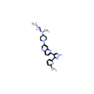 CNCCN(C)C1CCN(c2cnc3ccc(-c4c[nH]nc4-c4cccc(C)n4)nc3c2)CC1